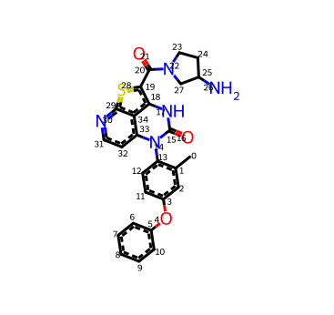 Cc1cc(Oc2ccccc2)ccc1N1C(=O)Nc2c(C(=O)N3CCC(N)C3)sc3nccc1c23